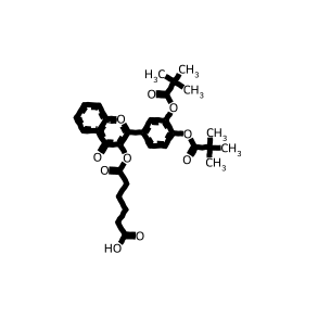 CC(C)(C)C(=O)Oc1ccc(-c2oc3ccccc3c(=O)c2OC(=O)CCCCC(=O)O)cc1OC(=O)C(C)(C)C